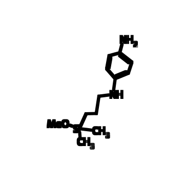 CO[Si](C)(C)CCCNc1ccc(N)cc1